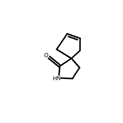 O=C1NCCC12CC=CC2